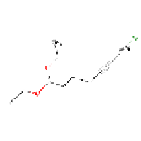 CCOC(CCCC#[C][Mg][Br])OCC